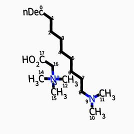 CCCCCCCCCCCCCCCCCCN(C)C.C[N+](C)(C)CC(=O)O